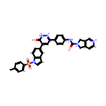 Cc1ccc(S(=O)(=O)n2ccc3cc(-c4cc(-c5ccc(NC(=O)N6Cc7ccncc7C6)cc5)n[nH]c4=O)ccc32)cc1